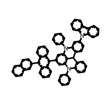 c1ccc(N2c3ccccc3C3c4ccc(-n5c6ccccc6c6ccccc65)cc4N(c4ccccc4)c4cc(-c5c6ccccc6c(-c6ccc7ccccc7c6)c6ccccc56)cc2c43)cc1